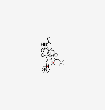 CC1(C)CCC(CN2CC3CC(C2)N3c2ccc3c(c2)C(=O)N(C2CCC(=O)NC2=O)C3=O)=C(c2ccc(Cl)cc2)C1